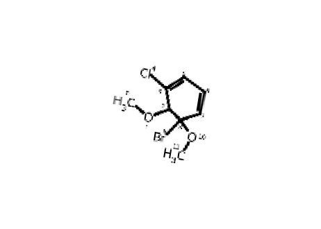 COC1C(Cl)=CC=CC1(Br)OC